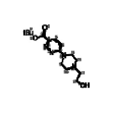 CC(C)(C)OC(=O)c1ccc(N2CCN(CCO)CC2)nn1